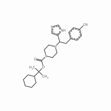 CC(C)(OC(=O)N1CCN(C(Cc2ccc(C#N)cc2)c2cnc[nH]2)CC1)C1CCCCC1